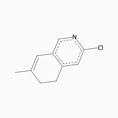 CC1=Cc2cnc(Cl)cc2CC1